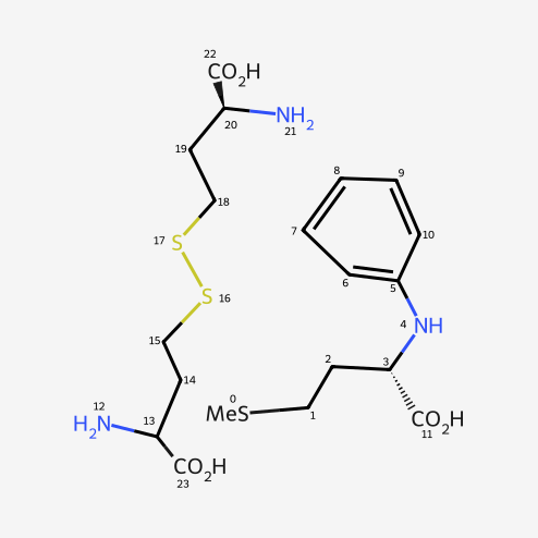 CSCC[C@H](Nc1ccccc1)C(=O)O.NC(CCSSCC[C@H](N)C(=O)O)C(=O)O